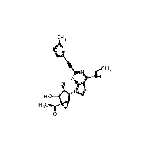 CCNc1nc(C#Cc2ccc(C)s2)nc2c1ncn2[C@@H]1C2C[C@]2(C(C)=O)C(O)[C@H]1O